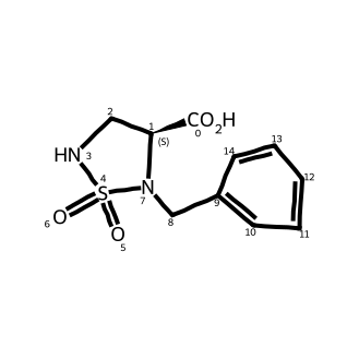 O=C(O)[C@@H]1CNS(=O)(=O)N1Cc1ccccc1